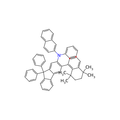 CC1(C)CCC(C)(C)c2c(-c3cc4c(cc3N(c3ccccc3)c3ccc5ccccc5c3)C(c3ccccc3)(c3ccccc3)c3ccccc3-4)cccc21